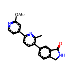 COc1cc(-c2ccc(-c3ccc4c(c3)C(=O)NC4)c(C)n2)ccn1